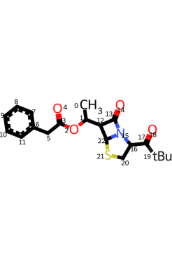 CC(OC(=O)Cc1ccccc1)C1C(=O)N2C(C(=O)C(C)(C)C)CSC12